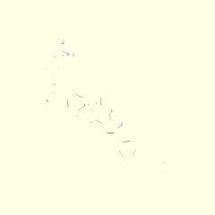 C[C@H](N)CCCc1cc(Cl)c(F)c(-c2cc3cn(-c4ccc([C@@H]5N[C@@H](CCNC(=N)N)CCO5)cc4)c(=O)nc3[nH]2)c1